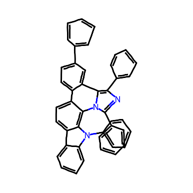 c1ccc(-c2ccc3c(c2)c2c(-c4ccccc4)nc(-c4ccccc4)n2c2c3ccc3c4ccccc4n(-c4ccccc4)c32)cc1